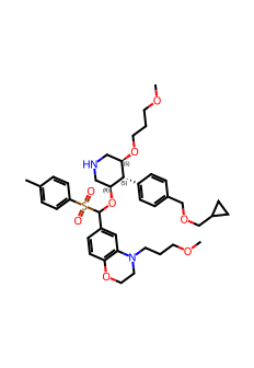 COCCCO[C@@H]1CNC[C@H](OC(c2ccc3c(c2)N(CCCOC)CCO3)S(=O)(=O)c2ccc(C)cc2)[C@H]1c1ccc(COCC2CC2)cc1